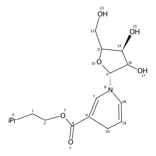 CC(C)CCOC(=O)C1=CN([C@@H]2OC(CO)[C@@H](O)C2O)C=CC1